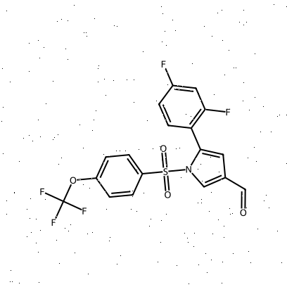 O=Cc1cc(-c2ccc(F)cc2F)n(S(=O)(=O)c2ccc(OC(F)(F)F)cc2)c1